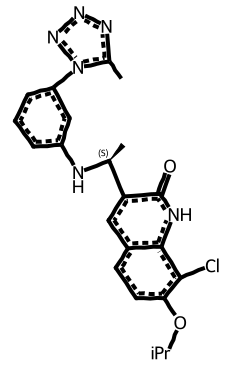 Cc1nnnn1-c1cccc(N[C@@H](C)c2cc3ccc(OC(C)C)c(Cl)c3[nH]c2=O)c1